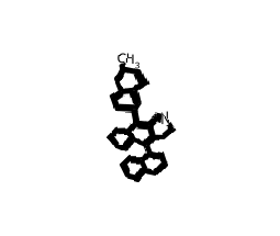 Cc1ccc2cc(-c3c4ccccc4c(-c4cccc5ccccc45)c4ccncc34)ccc2c1